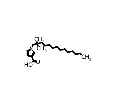 CCCCCCCCCCCCC(C)(C)Cn1ccc(C(=O)O)c1